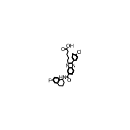 O=C(O)CCCCc1nc2cc(C(=O)N[C@H]3CCCc4cc(F)ccc43)ccc2nc1-c1ccc(Cl)cc1